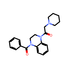 O=C(CN1CCCCC1)N1CCN(C(=O)c2ccccc2)c2ccccc21